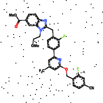 COCCn1c(Cc2ccc(-c3cc(C(F)(F)F)cc(OCc4ccc(C#N)cc4F)n3)cc2F)nc2ccc(C(=O)OC)cc21